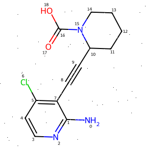 Nc1nccc(Cl)c1C#CC1CCCCN1C(=O)O